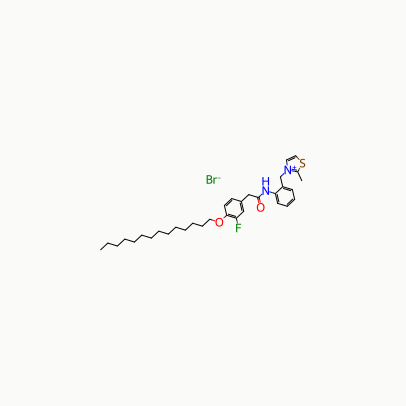 CCCCCCCCCCCCCCOc1ccc(CC(=O)Nc2ccccc2C[n+]2ccsc2C)cc1F.[Br-]